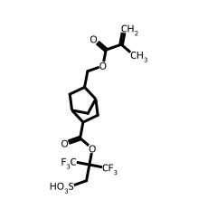 C=C(C)C(=O)OCC1CC2CC1CC2C(=O)OC(CS(=O)(=O)O)(C(F)(F)F)C(F)(F)F